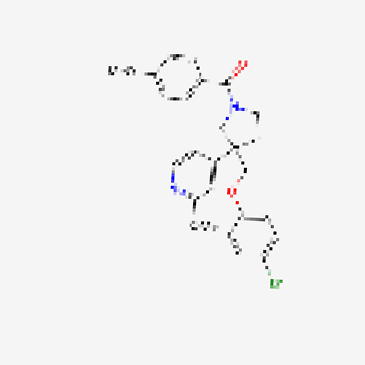 COc1ccc(C(=O)N2CCC(COc3ccc(Br)cc3)(c3ccnc(OC)c3)C2)cc1